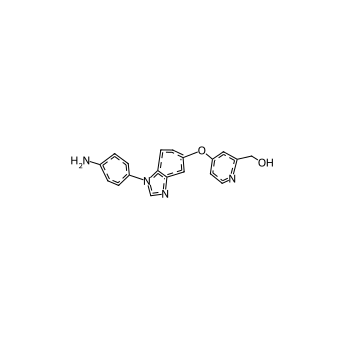 Nc1ccc(-n2cnc3cc(Oc4ccnc(CO)c4)ccc32)cc1